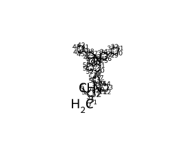 C=Cc1cc(C=C)cc(-n2c3ccccc3c3cc(-c4ccc(N(c5ccc(-c6ccccc6)cc5)c5ccc(-c6ccccc6)cc5)c5ccccc45)ccc32)c1